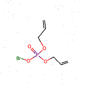 C=CCOP(=O)(OBr)OCC=C